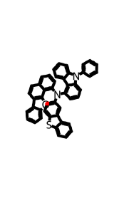 c1ccc(-n2c3ccccc3c3c(N(c4ccc5sc6ccccc6c5c4)c4cccc5ccc6c7ccccc7oc6c45)cccc32)cc1